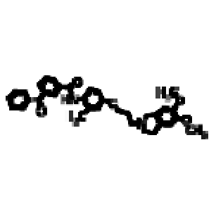 COc1cc2c(cc1OC)CN(CCCOc1ccc(NC(=O)c3cccc(C(=O)c4ccccc4)c3)c(C)c1)CC2